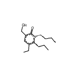 CCCCn1c(CCC)c(CC)cc(CO)c1=O